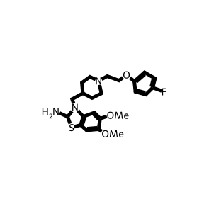 COc1cc2c(cc1OC)N(CC1CCN(CCOc3ccc(F)cc3)CC1)C(N)S2